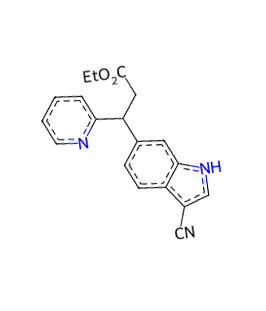 CCOC(=O)CC(c1ccc2c(C#N)c[nH]c2c1)c1ccccn1